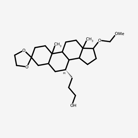 COCOC1CCC2C3C(CCC12C)C1(C)CCC2(CC1C[C@H]3CCCO)OCCO2